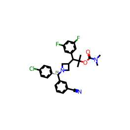 CN(C)C(=O)OC(C)(C)C(c1cc(F)cc(F)c1)C1CN([C@@H](c2ccc(Cl)cc2)c2cccc(C#N)c2)C1